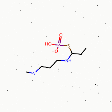 CCC(NCCCNC)SP(=O)(O)O